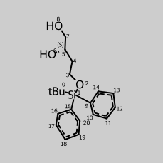 CC(C)(C)[Si](OCC[C@H](O)CO)(c1ccccc1)c1ccccc1